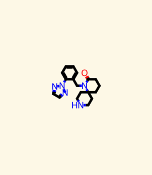 O=C1CCCC2(CCNCC2)N1Cc1ccccc1-n1nccn1